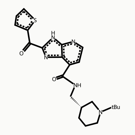 CC(C)(C)N1CCC[C@H](CNC(=O)c2ccnc3[nH]c(C(=O)c4cccs4)nc23)C1